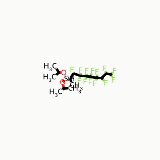 CC(C)O[SiH](OC(C)C)C(C)C(F)C(F)(F)C(F)(F)C(F)(F)C(F)(F)C(F)C(F)C(F)F